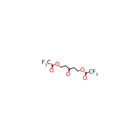 O=C(CCOC(=O)C(F)(F)F)CCOC(=O)C(F)(F)F